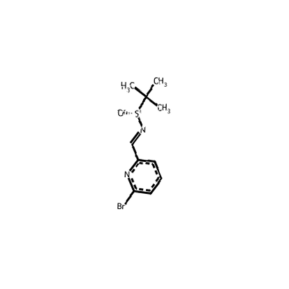 CC(C)(C)[S@@+]([O-])N=Cc1cccc(Br)n1